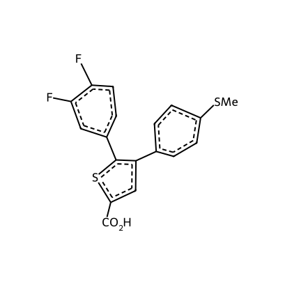 CSc1ccc(-c2cc(C(=O)O)sc2-c2ccc(F)c(F)c2)cc1